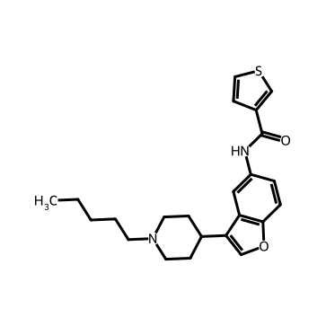 CCCCCN1CCC(c2coc3ccc(NC(=O)c4ccsc4)cc23)CC1